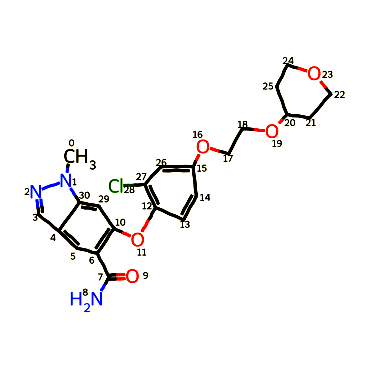 Cn1ncc2cc(C(N)=O)c(Oc3ccc(OCCOC4CCOCC4)cc3Cl)cc21